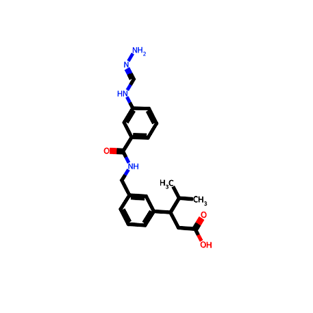 CC(C)C(CC(=O)O)c1cccc(CNC(=O)c2cccc(NC=NN)c2)c1